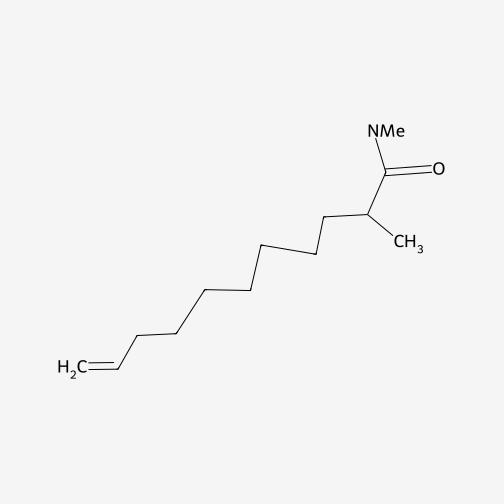 C=CCCCCCCCC(C)C(=O)NC